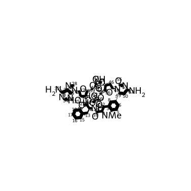 CN[C@@H](Cc1ccccc1)C(=O)N[C@@H](Cc1ccccc1)C(=O)OC1C(O)[C@H](n2cnc3c(N)ncnc32)O[C@@H]1COP(=O)(O)OC1C[C@H](n2ccc(N)nc2=O)O[C@@H]1COP(=O)(O)O